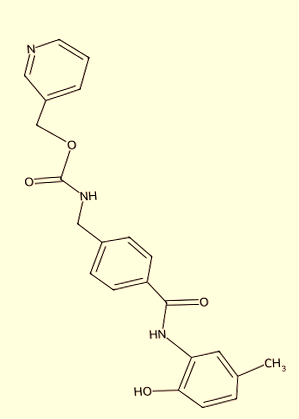 Cc1ccc(O)c(NC(=O)c2ccc(CNC(=O)OCc3cccnc3)cc2)c1